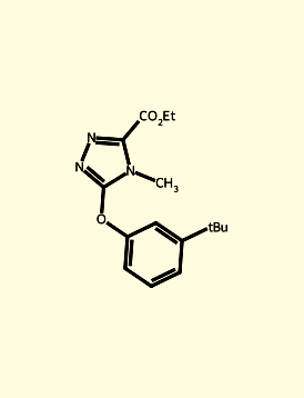 CCOC(=O)c1nnc(Oc2cccc(C(C)(C)C)c2)n1C